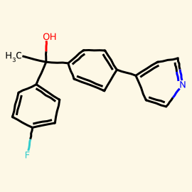 CC(O)(c1ccc(F)cc1)c1ccc(-c2ccncc2)cc1